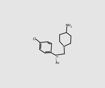 CC(=O)[C@@H](CN1CCC(N)CC1)c1ccc(Cl)cc1